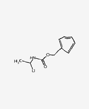 CC(Cl)NC(=O)OCc1ccccc1